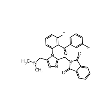 CN(C)Cc1nnc(CN2C(=O)c3ccccc3C2=O)n1-c1cccc(F)c1C(=O)c1cccc(F)c1